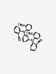 [C-]#[N+]c1ccccc1N(c1cccc(N(c2ccccc2C#N)c2ccccc2[N+]#[C-])c1)c1ccccc1C#N